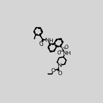 CCOC(=O)N1CCC(NS(=O)(=O)c2cccc3c(NC(=O)c4ccccc4C)cccc23)CC1